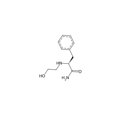 NC(=O)[C@H](Cc1ccccc1)NCCO